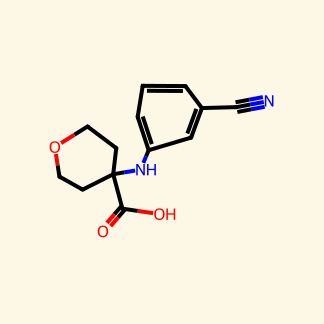 N#Cc1cccc(NC2(C(=O)O)CCOCC2)c1